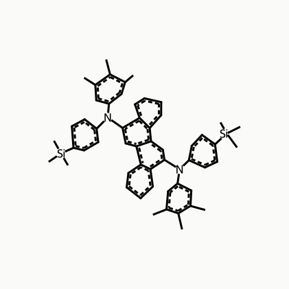 Cc1cc(N(c2ccc([Si](C)(C)C)cc2)c2cc3c4ccccc4c(N(c4ccc([Si](C)(C)C)cc4)c4cc(C)c(C)c(C)c4)cc3c3ccccc23)cc(C)c1C